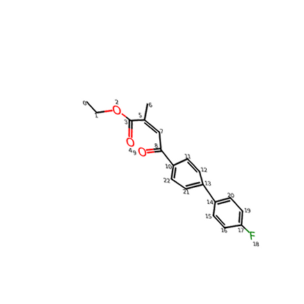 CCOC(=O)C(C)=CC(=O)c1ccc(-c2ccc(F)cc2)cc1